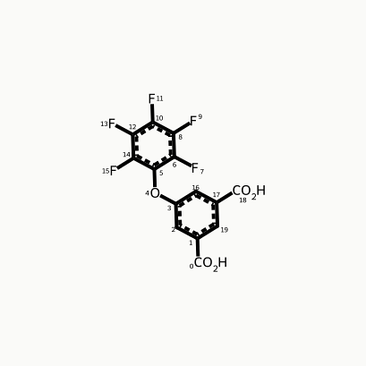 O=C(O)c1cc(Oc2c(F)c(F)c(F)c(F)c2F)cc(C(=O)O)c1